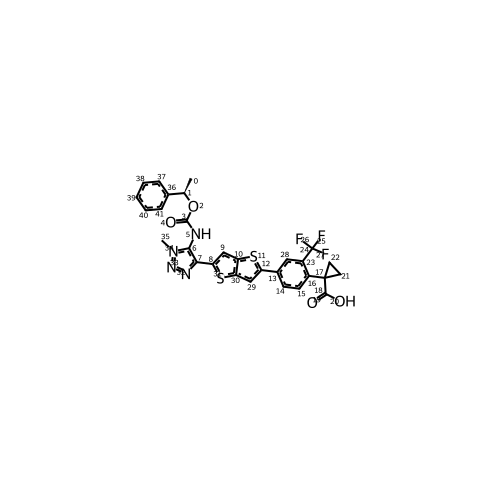 C[C@@H](OC(=O)Nc1c(-c2cc3sc(-c4ccc(C5(C(=O)O)CC5)c(C(F)(F)F)c4)cc3s2)nnn1C)c1ccccc1